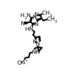 CCc1c(C)nn2c(N)c(C#N)c(NCCc3ccn(C4(CNCCC[S+]=O)CC4)n3)nc12